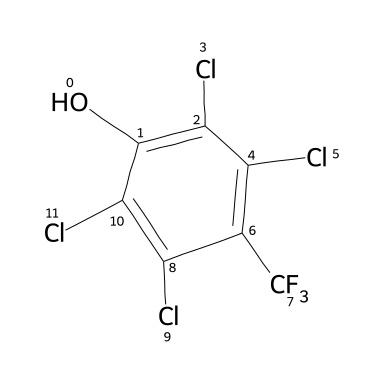 Oc1c(Cl)c(Cl)c(C(F)(F)F)c(Cl)c1Cl